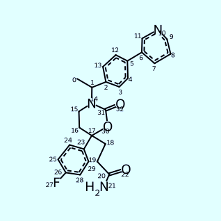 CC(c1ccc(-c2cccnc2)cc1)N1CCC(CCC(N)=O)(c2ccc(F)cc2)OC1=O